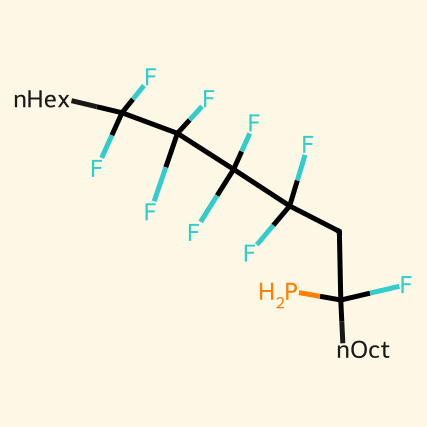 CCCCCCCCC(F)(P)CC(F)(F)C(F)(F)C(F)(F)C(F)(F)CCCCCC